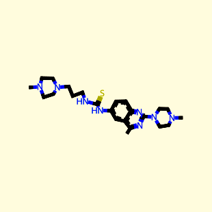 Cc1nc(N2CCN(C)CC2)nc2ccc(NC(=S)NCCCN3CCN(C)CC3)cc12